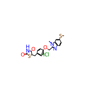 CSc1ccc2nc(COc3ccc(CC4SC(=O)NC4=O)cc3)n(C)c2c1.Cl